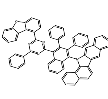 c1ccc(-c2nc(-c3c(-c4ccccc4)c(-c4ccccc4)c(-n4c5cc6ccccc6cc5c5ccc6ccccc6c54)c4ccccc34)nc(-c3cccc4oc5ccccc5c34)n2)cc1